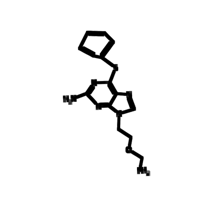 Nc1nc(Sc2ccccc2)c2ncn(CCOCP)c2n1